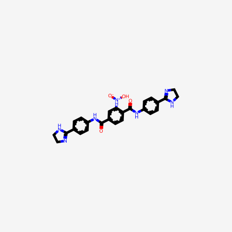 O=C(Nc1ccc(C2=NCCN2)cc1)c1ccc(C(=O)Nc2ccc(C3=NCCN3)cc2)c([NH+]([O-])O)c1